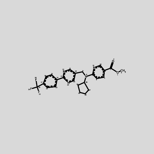 COC(=O)c1ccc(N(Cc2cnc(-c3ccc(C(F)(F)F)cc3)nc2)C2CCCC2)nc1